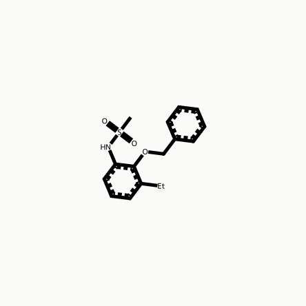 CCc1cccc(NS(C)(=O)=O)c1OCc1ccccc1